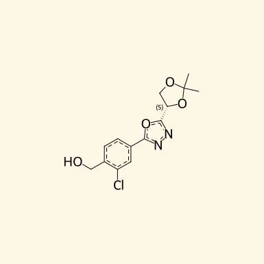 CC1(C)OC[C@@H](c2nnc(-c3ccc(CO)c(Cl)c3)o2)O1